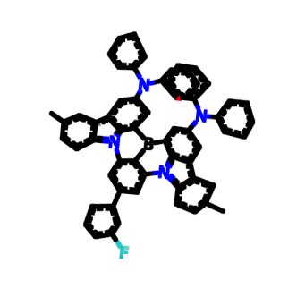 Cc1ccc2c(c1)c1cc(N(c3ccccc3)c3ccccc3)cc3c1n2-c1cc(-c2cccc(F)c2)cc2c1B3c1cc(N(c3ccccc3)c3ccccc3)cc3c4cc(C)ccc4n-2c13